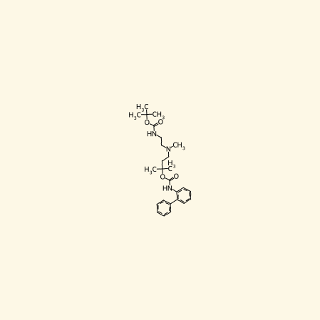 CN(CCNC(=O)OC(C)(C)C)CCC(C)(C)OC(=O)Nc1ccccc1-c1ccccc1